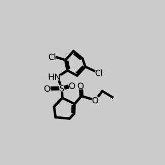 CCOC(=O)C1=CCCCC1S(=O)(=O)Nc1cc(Cl)ccc1Cl